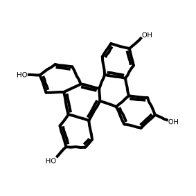 Oc1ccc2c(c1)c1cc(O)ccc1c1c3ccc(O)cc3c3cc(O)ccc3c21